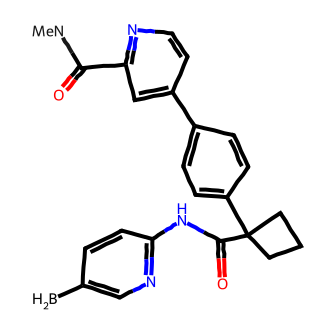 Bc1ccc(NC(=O)C2(c3ccc(-c4ccnc(C(=O)NC)c4)cc3)CCC2)nc1